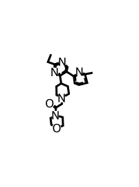 CCc1ncc(-c2cccc(C)n2)c(C2CCN(CC(=O)N3CCOCC3)CC2)n1